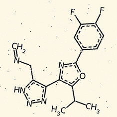 C=NCc1[nH]nnc1-c1nc(-c2ccc(F)c(F)c2)oc1C(C)C